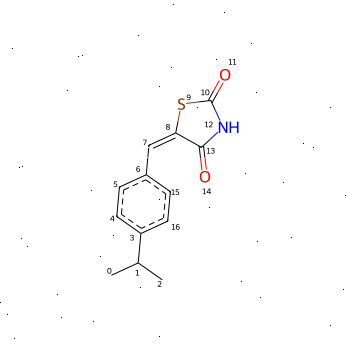 CC(C)c1ccc(C=C2SC(=O)NC2=O)cc1